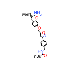 CCCCC(=O)NCc1ccc(-c2cc(COc3ccc(C[C@H](NC)C(N)=O)cc3)on2)cc1